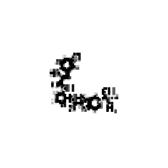 CC(C)N1CCc2nc(C(=O)N[C@@H]3CCC[C@H]3NC(=O)c3cc4cc(Cl)ccc4[nH]3)sc2C1